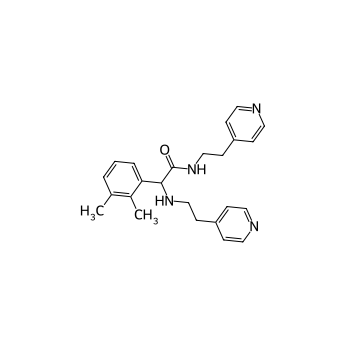 Cc1cccc(C(NCCc2ccncc2)C(=O)NCCc2ccncc2)c1C